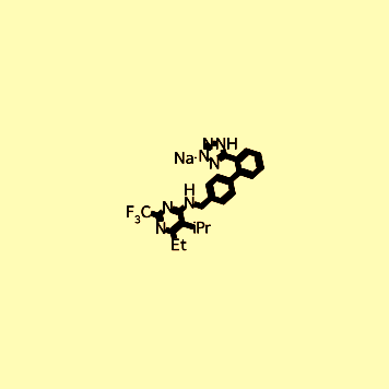 CCc1nc(C(F)(F)F)nc(NCc2ccc(-c3ccccc3-c3nnn[nH]3)cc2)c1C(C)C.[Na]